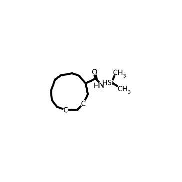 C[SiH](C)NC(=O)C1CCCCCCCCCCC1